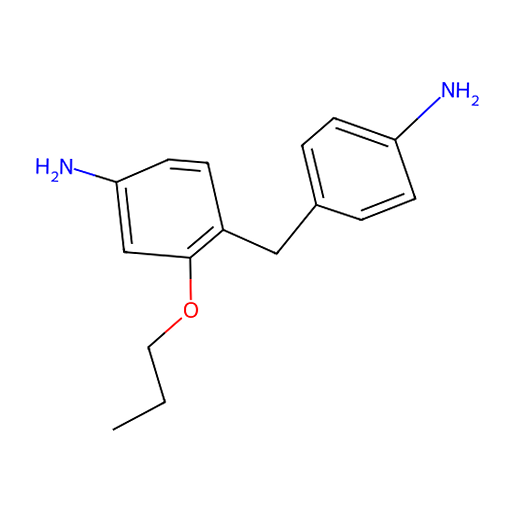 CCCOc1cc(N)ccc1Cc1ccc(N)cc1